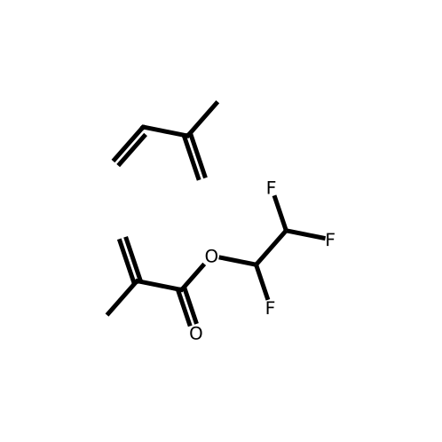 C=C(C)C(=O)OC(F)C(F)F.C=CC(=C)C